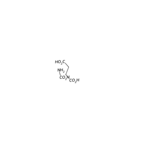 NC(=O)O.O=C(O)CCC(=O)O